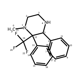 CN1CCNC(c2ccccc2)C1(c1ccccc1)C(F)(F)F